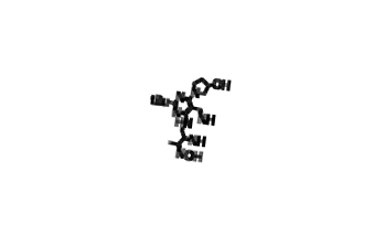 C/C(=N/O)C(=N)CNc1nc(C(C)(C)C)nc(N2CCC(O)C2)c1C=N